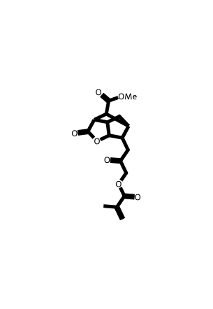 C=C(C)C(=O)OCC(=O)CC1C2CC3C1OC(=O)C3C2C(=O)OC